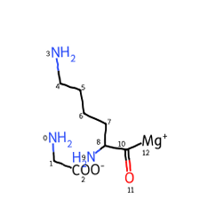 NCC(=O)[O-].NCCCCC(N)[C](=O)[Mg+]